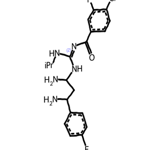 CC(C)N/C(=N/C(=O)c1ccc(Cl)c(F)c1)NC(N)CC(N)c1ccc(F)cc1